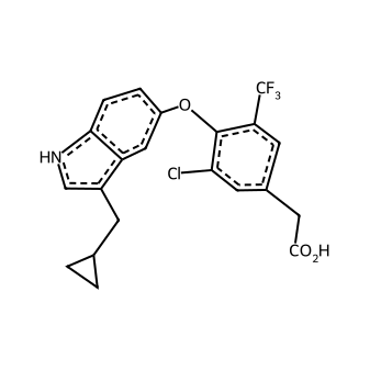 O=C(O)Cc1cc(Cl)c(Oc2ccc3[nH]cc(CC4CC4)c3c2)c(C(F)(F)F)c1